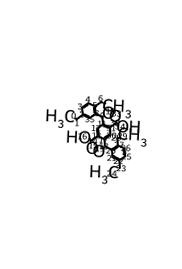 CCc1ccc(CC)c(C(=O)c2cc(C(=O)O)c(C(=O)c3cc(CC)ccc3CC)cc2C(=O)O)c1